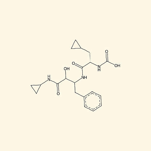 O=C(O)N[C@@H](CC1CC1)C(=O)NC(Cc1ccccc1)C(O)C(=O)NC1CC1